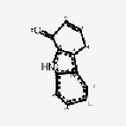 O=C1C=CCc2c1[nH]c1ccccc21